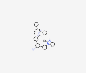 CC=C=C(/C=C(\N=C(/C)c1cccc(-c2cc(N)cc(-c3cccc(N4c5ccccc5N(C)C4CC)c3)c2)c1)c1ccccc1)c1ccccc1